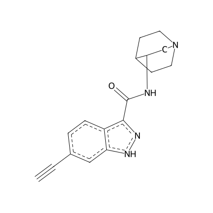 C#Cc1ccc2c(C(=O)NC3CN4CCC3CC4)n[nH]c2c1